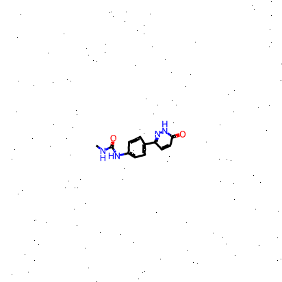 CNC(=O)Nc1ccc(-c2ccc(=O)[nH]n2)cc1